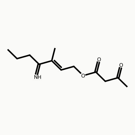 CCCC(=N)/C(C)=C/COC(=O)CC(C)=O